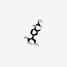 C=C(O)/C(=C\C)c1ccc(NC(C)=O)c(F)c1